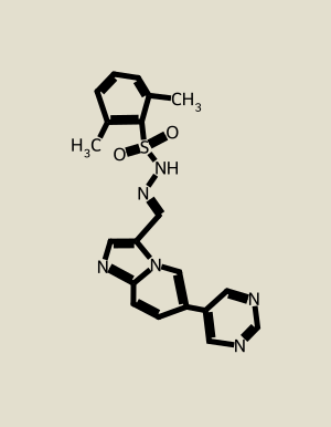 Cc1cccc(C)c1S(=O)(=O)NN=Cc1cnc2ccc(-c3cncnc3)cn12